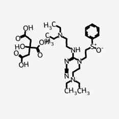 CCN(CC)CCN/C(=N/C#N)N(CCN(CC)CC)CC[S+]([O-])c1ccccc1.O=C(O)CC(O)(CC(=O)O)C(=O)O